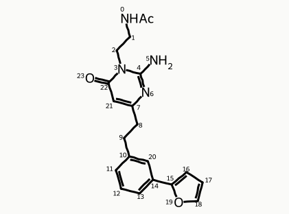 CC(=O)NCCn1c(N)nc(CCc2cccc(-c3ccco3)c2)cc1=O